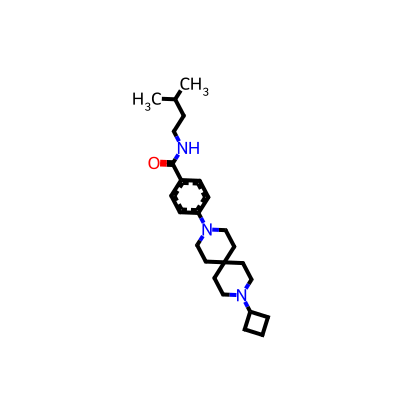 CC(C)CCNC(=O)c1ccc(N2CCC3(CC2)CCN(C2CCC2)CC3)cc1